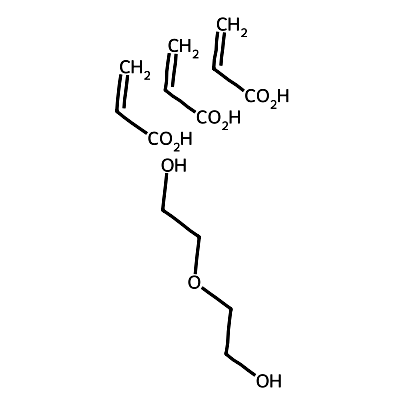 C=CC(=O)O.C=CC(=O)O.C=CC(=O)O.OCCOCCO